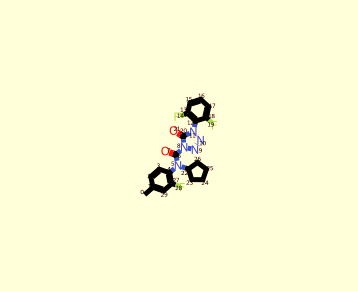 Cc1ccc(N(C(=O)n2nnn(-c3c(F)cccc3F)c2=O)C2CCCC2)c(F)c1